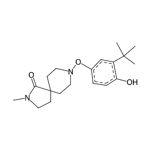 CN1CCC2(CCN(Oc3ccc(O)c(C(C)(C)C)c3)CC2)C1=O